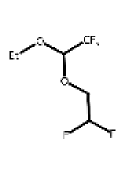 CCOC(OCC(F)F)C(F)(F)F